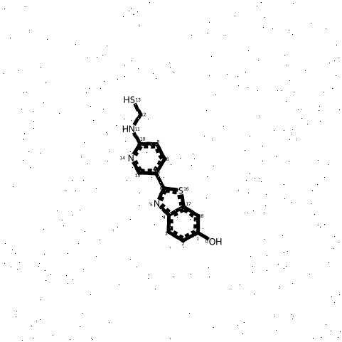 Oc1ccc2nc(-c3ccc(NCS)nc3)sc2c1